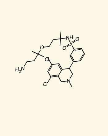 CN1Cc2c(Cl)cc(Cl)cc2C(c2cccc(S(=O)(=O)NC(C)(C)CCOC(C)(C)CCN)c2)C1